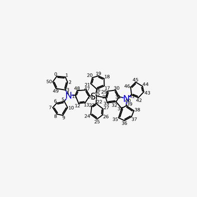 c1ccc(N(c2ccccc2)c2ccc([Si](c3ccccc3)(c3ccccc3)c3ccc4c(c3)c3ccccc3n4-c3ccccc3)cc2)cc1